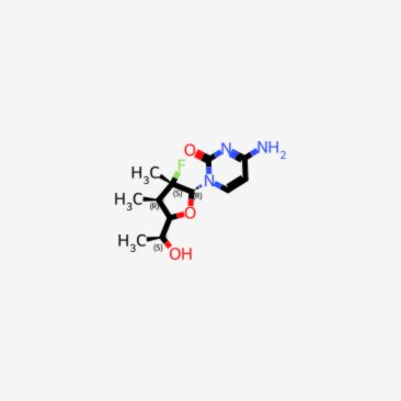 C[C@H](O)C1O[C@@H](n2ccc(N)nc2=O)[C@@](C)(F)[C@@H]1C